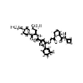 O=C(O)CCC(NC(=O)c1cc(OCC(=O)N2CCCC2C(=O)NC2CCC2)n(-c2ccc(F)c(F)c2)n1)C(=O)N1CCN(C(=O)O)CC1